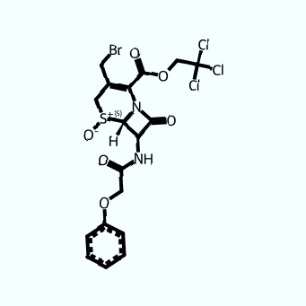 O=C(COc1ccccc1)NC1C(=O)N2C(C(=O)OCC(Cl)(Cl)Cl)=C(CBr)C[S+]([O-])[C@@H]12